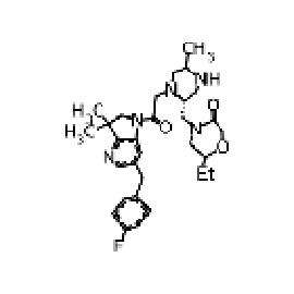 CCC1CN(C[C@H]2CNC(C)CN2CC(=O)N2CC(C)(C)c3ncc(Cc4ccc(F)cc4)cc32)C(=O)CO1